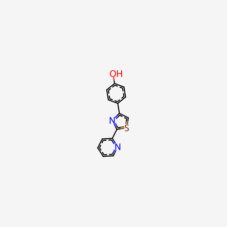 Oc1ccc(-c2csc(-c3ccccn3)n2)cc1